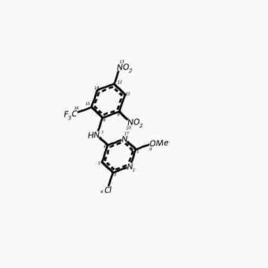 COc1nc(Cl)cc(Nc2c([N+](=O)[O-])cc([N+](=O)[O-])cc2C(F)(F)F)n1